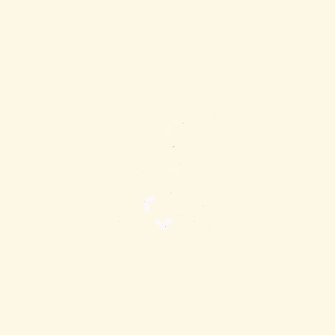 CC(C)c1nc(C(C)(C)C)c2c(n1)C(C)(CCOc1ccccc1)OC2